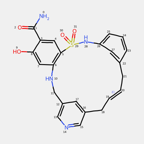 NC(=O)c1cc2c(cc1O)NCc1cncc(c1)C/C=C/Cc1cccc(c1)NS2(=O)=O